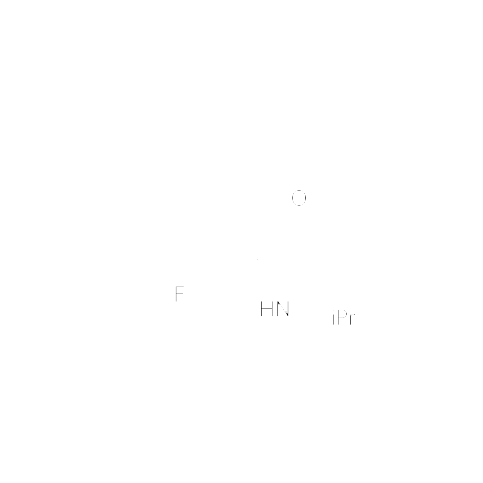 CC(C)NC(=O)C1(F)CCCC1